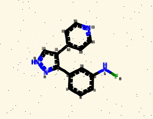 FNc1cccc(-c2n[nH]cc2-c2ccncc2)c1